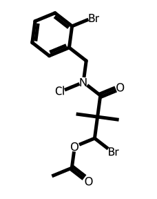 CC(=O)OC(Br)C(C)(C)C(=O)N(Cl)Cc1ccccc1Br